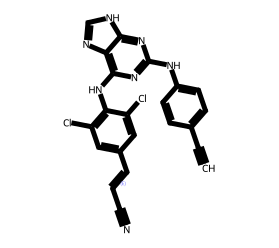 C#Cc1ccc(Nc2nc(Nc3c(Cl)cc(/C=C/C#N)cc3Cl)c3nc[nH]c3n2)cc1